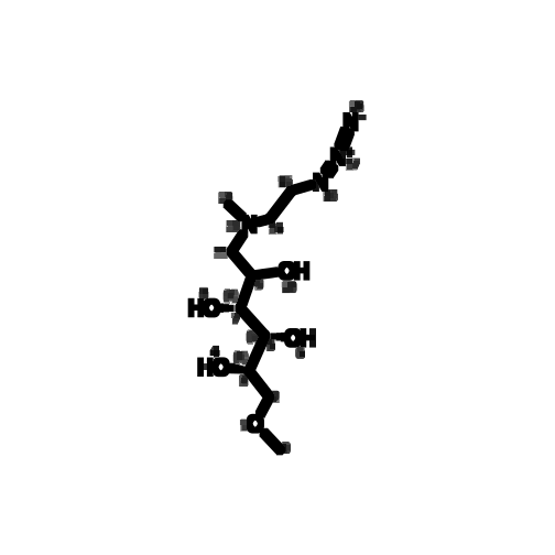 COC[C@@H](O)[C@@H](O)[C@H](O)C(O)CN(C)CCN=[N+]=[N-]